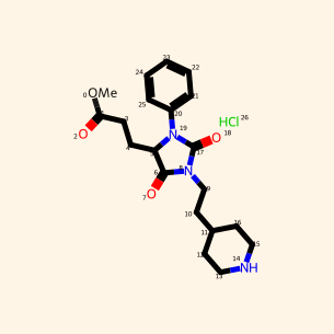 COC(=O)CCC1C(=O)N(CCC2CCNCC2)C(=O)N1c1ccccc1.Cl